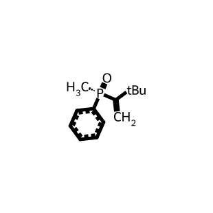 C=C(C(C)(C)C)[P@](C)(=O)c1ccccc1